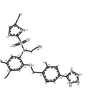 Cc1csc(S(=O)(=O)N(CC(C)C)c2cc(C)c(C)cc2OCc2ccc(-c3nnn[nH]3)cc2C)n1